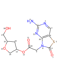 Nc1ncc2sc(=O)n(CC(=O)OC3COC(CO)C3)c2n1